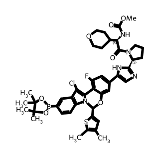 COC(=O)N[C@@H](C(=O)N1CCC[C@H]1c1ncc(-c2cc(F)c3c(c2)OC(c2cc(C)c(C)s2)n2c-3c(Cl)c3cc(B4OC(C)(C)C(C)(C)O4)ccc32)[nH]1)C1CCOCC1